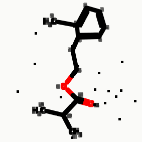 Cc1ccccc1CCOC(=O)C(C)C